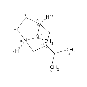 CC(C)C1C[C@H]2CC[C@@H](C1)N2C